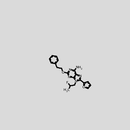 CC(F)Cn1c(-c2ccco2)nc2c(N)nc(OCCc3ccccc3)nc21